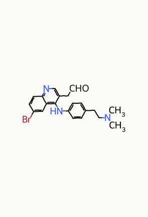 CN(C)CCc1ccc(Nc2c(CC=O)cnc3ccc(Br)cc23)cc1